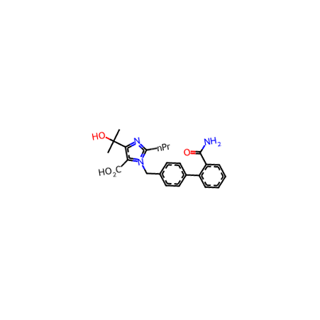 CCCc1nc(C(C)(C)O)c(C(=O)O)n1Cc1ccc(-c2ccccc2C(N)=O)cc1